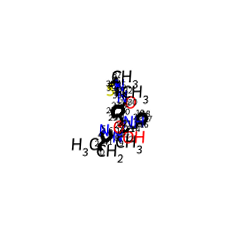 C=C(C)c1cncc(N(C)C[C@@H](O)[C@H](Cc2ccccc2)NC(=O)c2cccc(C(=O)N(C)Cc3nc(C)cs3)c2)c1